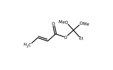 [CH2]CC(OC)(OC)OC(=O)C=CC